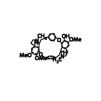 COc1cc2c3c(c1O)Oc1ccc(cc1)C[C@@H]1c4c(cc(OC)c(OC)c4Oc4ccc(cc4)C[C@H]3N(C)CC2)CCN1C